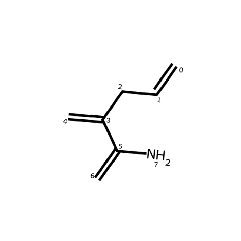 C=CCC(=C)C(=C)N